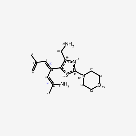 C=C(C)/C=C(\C=C(\C)N)c1sc(N2CCOCC2)nc1CN